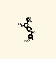 CCOC1CC(c2ccnn2C)OC2(CCN(C(=O)c3ccc(OC(C)C)c(C)c3)CC2)C1